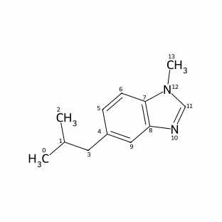 CC(C)Cc1ccc2c(c1)ncn2C